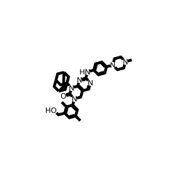 Cc1cc(CO)c(C)c(N2Cc3cnc(Nc4ccc(N5CCN(C)CC5)cc4)nc3N(C34CC5CC(CC(C5)C3)C4)C2=O)c1